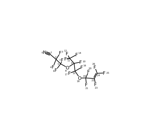 N#CC(F)(F)C(F)(F)OC(F)(C(F)(F)F)C(F)(F)OC(F)(F)C(F)=C(F)F